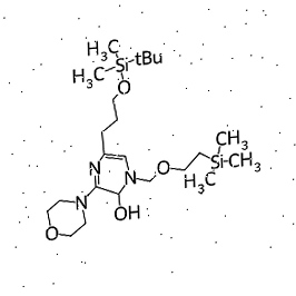 CC(C)(C)[Si](C)(C)OCCCC1=CN(COCC[Si](C)(C)C)C(O)C(N2CCOCC2)=N1